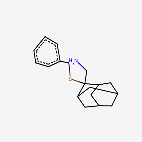 NCC1(SCc2ccccc2)C2CC3CC(C2)CC1C3